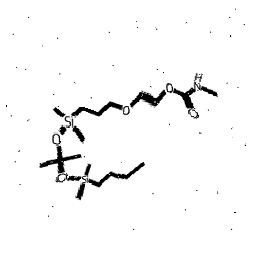 CCCC[Si](C)(C)OC(C)(C)O[Si](C)(C)CCCOCCOC(=O)NC